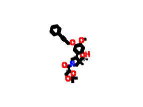 COc1ccc([C@@H]2CN(C(=O)[C@@H]3COC(C)(C)O3)C[C@@]2(C)[C@@H](C)O)cc1OCC#Cc1ccccc1